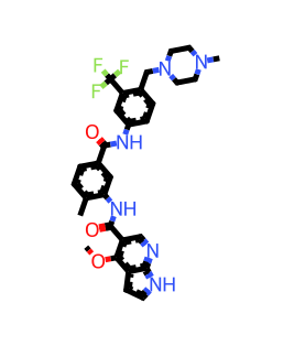 COc1c(C(=O)Nc2cc(C(=O)Nc3ccc(CN4CCN(C)CC4)c(C(F)(F)F)c3)ccc2C)cnc2[nH]ccc12